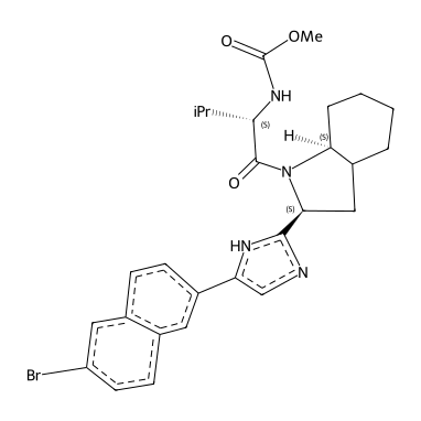 COC(=O)N[C@H](C(=O)N1[C@H](c2ncc(-c3ccc4cc(Br)ccc4c3)[nH]2)CC2CCCC[C@@H]21)C(C)C